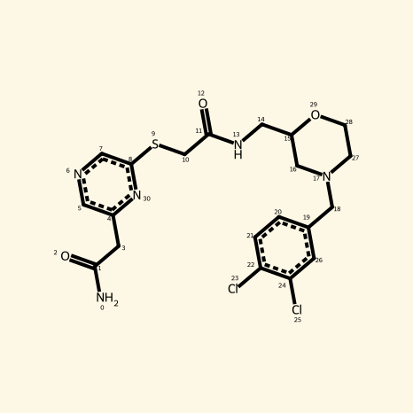 NC(=O)Cc1cncc(SCC(=O)NCC2CN(Cc3ccc(Cl)c(Cl)c3)CCO2)n1